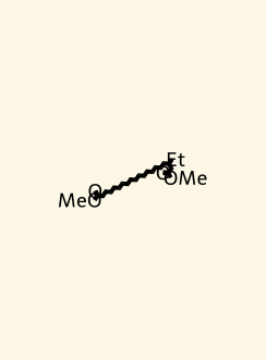 CCC(CCCCCCCCCCCCCCCCC(=O)OC)CC(=O)OC